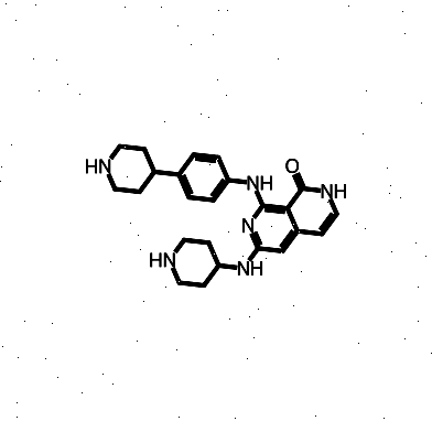 O=c1[nH]ccc2cc(NC3CCNCC3)nc(Nc3ccc(C4CCNCC4)cc3)c12